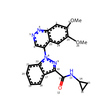 COc1cc2nncc(-n3nc(C(=O)NC4CC4)c4ccccc43)c2cc1OC